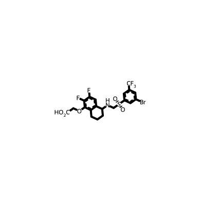 O=C(O)COc1c(F)c(F)cc2c1CCCC2NCS(=O)(=O)c1cc(Br)cc(C(F)(F)F)c1